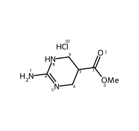 COC(=O)C1CN=C(N)NC1.Cl